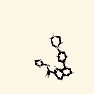 O=C(Nc1nccs1)c1ccc2cccc(-c3ccc(N4CCOCC4)cc3)c2n1